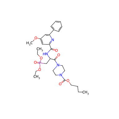 CCCCOC(=O)N1CCN(C(=O)C(CP(=O)(OCC)OCC)NC(=O)c2cc(OC)cc(-c3ccccc3)n2)CC1